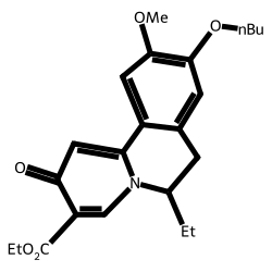 CCCCOc1cc2c(cc1OC)-c1cc(=O)c(C(=O)OCC)cn1C(CC)C2